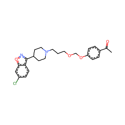 CC(=O)c1ccc(OCOCCCN2CCC(c3noc4cc(Cl)ccc34)CC2)cc1